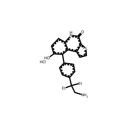 CCC(CC)(CN)c1ccc(-c2c(O)ccc3[nH]c(=O)c4sccc4c23)cc1.Cl